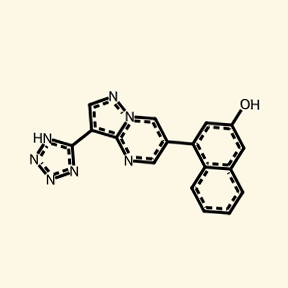 Oc1cc(-c2cnc3c(-c4nnn[nH]4)cnn3c2)c2ccccc2c1